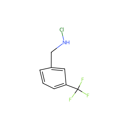 FC(F)(F)c1cccc(CNCl)c1